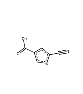 N#Cc1cc(C(=O)O)cs1